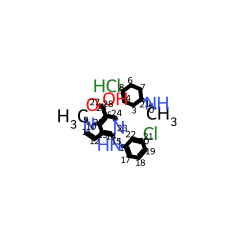 CNC1CCCCC1.Cl.Cn1ccc2c(Nc3cccc(Cl)c3)ncc(C(=O)O)c21